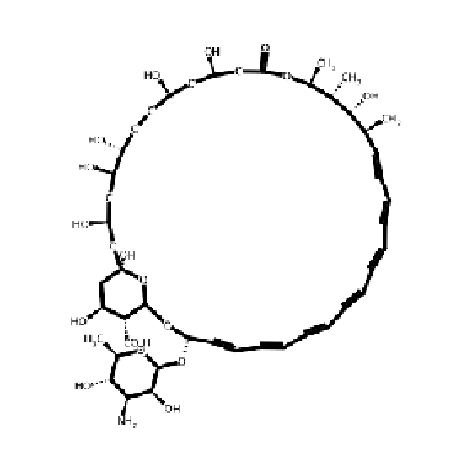 C[C@@H]1[C@H](O)[C@@H](C)/C=C/C=C/C=C/C=C/C=C/C=C/C=C/[C@H](OC2O[C@H](C)[C@@H](O)[C@H](N)[C@@H]2O)CC2O[C@](O)(C[C@@H](O)C[C@@H](O)[C@H](O)CC[C@@H](O)C[C@@H](O)CC(=O)O[C@H]1C)C[C@H](O)[C@H]2C(=O)O